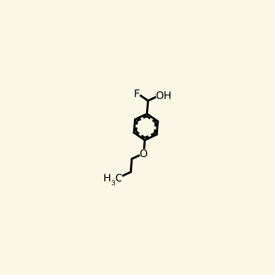 CCCOc1ccc(C(O)F)cc1